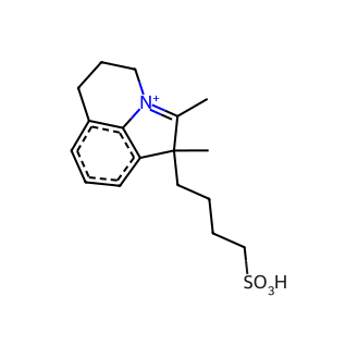 CC1=[N+]2CCCc3cccc(c32)C1(C)CCCCS(=O)(=O)O